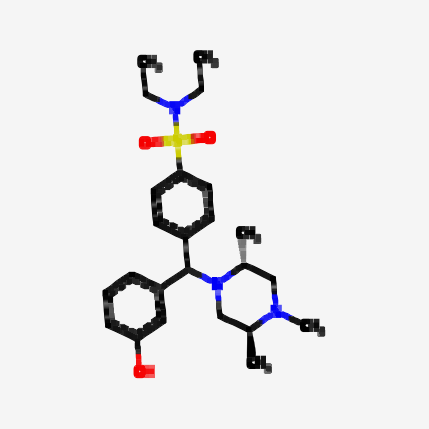 CCN(CC)S(=O)(=O)c1ccc(C(c2cccc(O)c2)N2C[C@H](C)N(C)C[C@H]2C)cc1